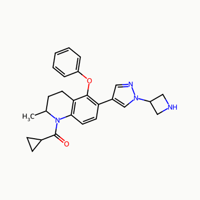 CC1CCc2c(ccc(-c3cnn(C4CNC4)c3)c2Oc2ccccc2)N1C(=O)C1CC1